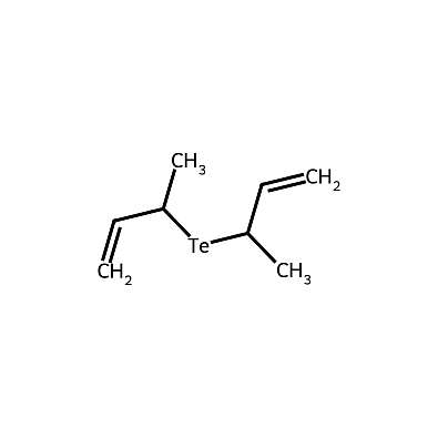 C=CC(C)[Te]C(C)C=C